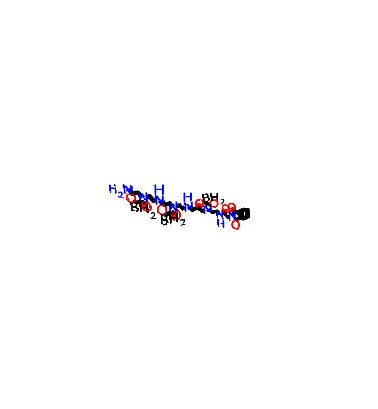 BCC(=O)N(CCNC(=O)CN(CCNCC(=O)CN(CCNC(=O)CN1C(=O)C2C3C=CC(C3)C2C1=O)C(=O)CB)C(=O)CB)CC(N)=O